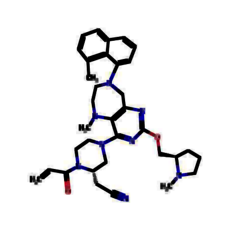 C=CC(=O)N1CCN(c2nc(OC[C@H]3CCCN3C)nc3c2N(C)CCN(c2cccc4cccc(C)c24)C3)C[C@@H]1CC#N